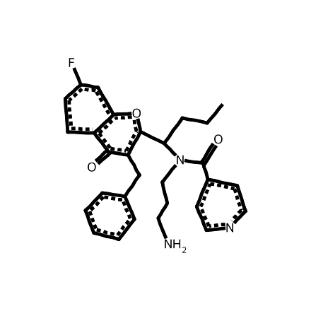 CCCC(c1oc2cc(F)ccc2c(=O)c1Cc1ccccc1)N(CCCN)C(=O)c1ccncc1